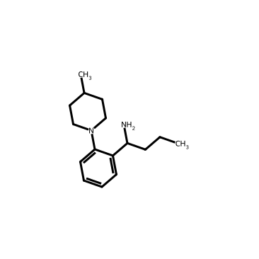 CCCC(N)c1ccccc1N1CCC(C)CC1